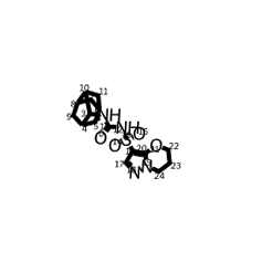 O=C(NC1C2CC3CC(C2)C1C3)NS(=O)(=O)c1cnn2c1OCCC2